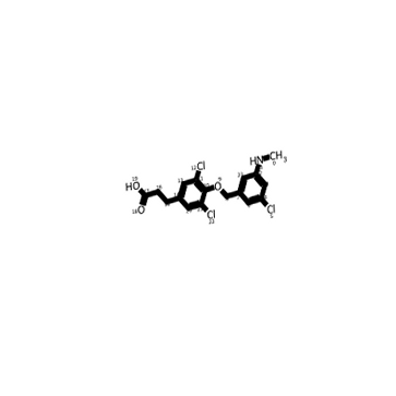 CNc1cc(Cl)cc(COc2c(Cl)cc(CCC(=O)O)cc2Cl)c1